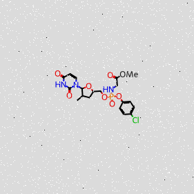 COC(=O)CNP(=O)(OCC1CC(C)C(n2ccc(=O)[nH]c2=O)O1)Oc1ccc(Cl)cc1